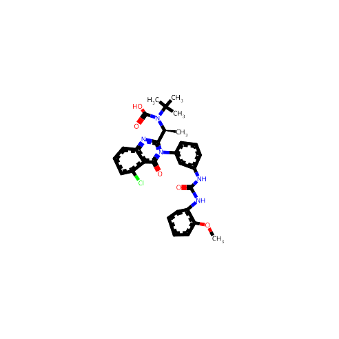 COc1ccccc1NC(=O)Nc1cccc(-n2c([C@H](C)N(C(=O)O)C(C)(C)C)nc3cccc(Cl)c3c2=O)c1